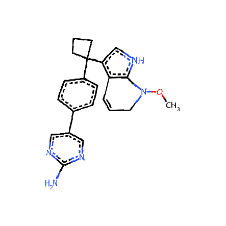 CON1CC=Cc2c(C3(c4ccc(-c5cnc(N)nc5)cc4)CCC3)c[nH]c21